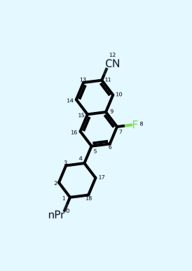 CCCC1CCC(c2cc(F)c3cc(C#N)ccc3c2)CC1